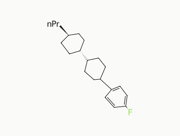 CCC[C@H]1CC[C@H](C2CCC(c3ccc(F)cc3)CC2)CC1